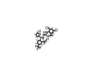 N#CNC(=NCC(c1ncc[nH]1)c1ccc(C(F)(F)F)cc1C(F)(F)F)Nc1ccc(Cl)cc1Cl